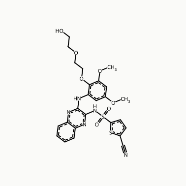 COc1cc(Nc2nc3ccccc3nc2NS(=O)(=O)c2ccc(C#N)s2)c(OCCOCCO)c(OC)c1